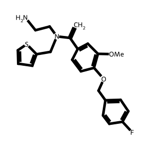 C=C(c1ccc(OCc2ccc(F)cc2)c(OC)c1)N(CCN)Cc1cccs1